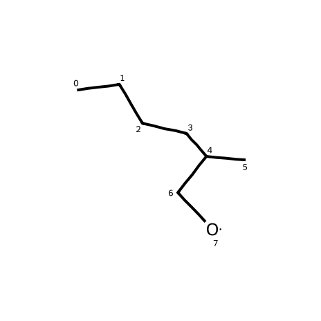 CCCCC(C)C[O]